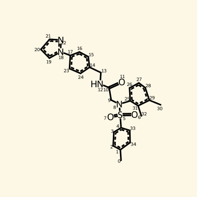 Cc1ccc(S(=O)(=O)N(CC(=O)NCc2ccc(-n3cccn3)cc2)c2cccc(C)c2C)cc1